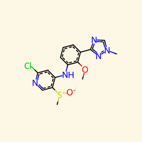 COc1c(Nc2cc(Cl)ncc2[S+](C)[O-])cccc1-c1ncn(C)n1